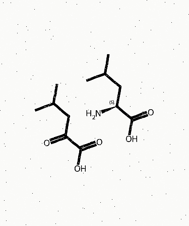 CC(C)CC(=O)C(=O)O.CC(C)C[C@H](N)C(=O)O